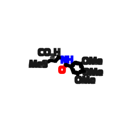 COc1cc(C(=O)NC(CCSC)C(=O)O)cc(OC)c1OC